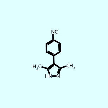 [C-]#[N+]c1ccc(-c2c(C)n[nH]c2C)cc1